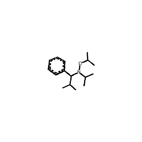 CC(C)ON(C(C)C)C(c1ccccc1)C(C)C